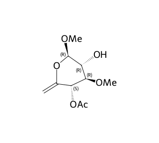 C=C1O[C@@H](OC)[C@H](O)[C@@H](OC)[C@@H]1OC(C)=O